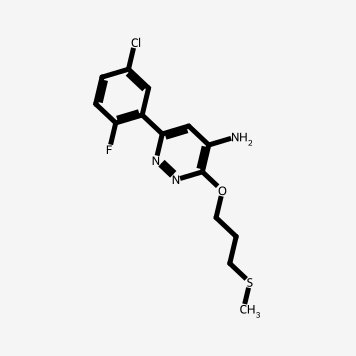 CSCCCOc1nnc(-c2cc(Cl)ccc2F)cc1N